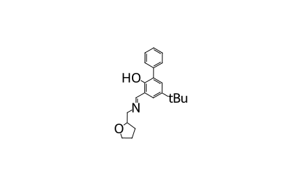 CC(C)(C)c1cc(/C=N/CC2CCCO2)c(O)c(-c2ccccc2)c1